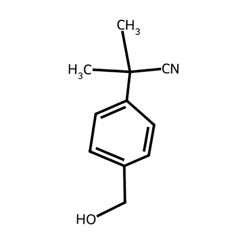 CC(C)(C#N)c1ccc(CO)cc1